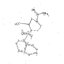 CC1CN(C(=N)N)CCN1S(=O)(=O)c1cccc2cnccc12